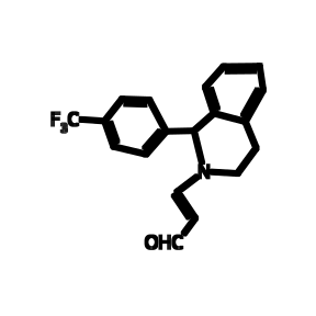 O=CC=CN1CCc2ccccc2C1c1ccc(C(F)(F)F)cc1